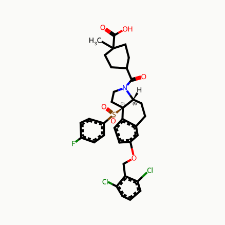 CC1(C(=O)O)CCC(C(=O)N2CC[C@@]3(S(=O)(=O)c4ccc(F)cc4)c4ccc(OCc5c(Cl)cccc5Cl)cc4CC[C@@H]23)CC1